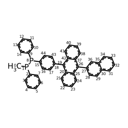 CP(c1ccccc1)P(c1ccccc1)c1ccc(-c2c3ccccc3c(-c3ccc4ccccc4c3)c3ccccc23)cc1